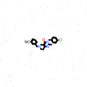 Cc1nc2c(c(=O)n1Cc1ccc(Cl)cc1)CN(Cc1cccc(C#N)c1)CC2